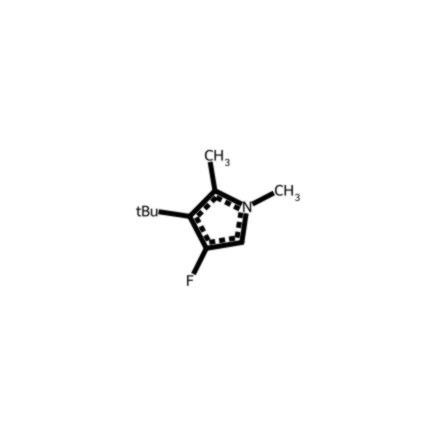 Cc1c(C(C)(C)C)c(F)cn1C